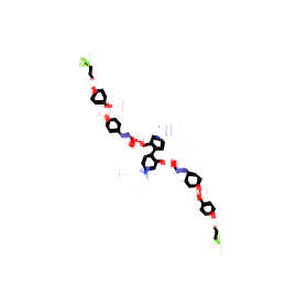 Nc1ccc(-c2ccc(N)cc2COC(=O)/C=C/c2ccc(OC(O)c3ccc(OCCCC(F)(F)F)cc3)cc2)c(COC(=O)/C=C/c2ccc(OC(=O)c3ccc(OCCCC(F)(F)F)cc3)cc2)c1